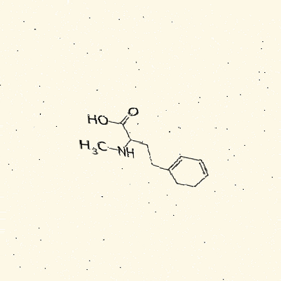 CNC(CCC1=CC=CCC1)C(=O)O